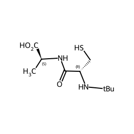 C[C@H](NC(=O)[C@H](CS)NC(C)(C)C)C(=O)O